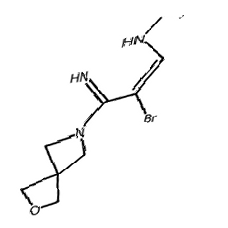 CN/C=C(/Br)C(=N)N1CC2(COC2)C1